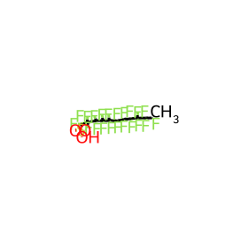 CC(F)C(F)(F)C(F)(F)C(F)(F)C(F)(F)C(F)(F)C(F)(F)C(F)(F)C(F)(F)C(F)(F)C(F)(F)S(=O)(=O)O